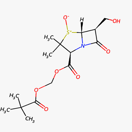 CC(C)(C)C(=O)OCOC(=O)[C@@H]1N2C(=O)[C@H](CO)[C@H]2[S+]([O-])C1(C)C